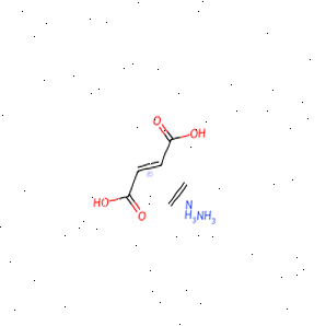 C=C.N.N.O=C(O)/C=C/C(=O)O